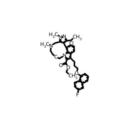 CCOC(=O)c1c(CCCOc2cccc3cc(F)ccc23)c2ccc(Cl)c3c2n1CCCCN(C)Cc1c-3c(CC)nn1C